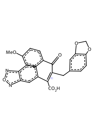 COc1ccc(C(=O)/C(Cc2ccc3c(c2)OCO3)=C(/C(=O)O)c2ccc3nonc3c2)cc1